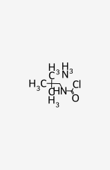 CC(C)(C)CNC(=O)Cl.N